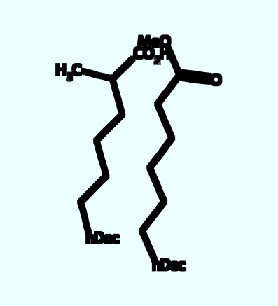 CCCCCCCCCCCCCCC(C)C(=O)O.CCCCCCCCCCCCCCCC(=O)OC